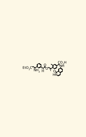 CCOC(=O)C[C@@H](N)c1cccc(NC(=O)OC[C@H](C)c2ccc(C(Nc3ccc4cc[nH]c(=O)c4c3)C(=O)O)cc2C)c1